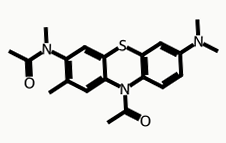 CC(=O)N(C)c1cc2c(cc1C)N(C(C)=O)c1ccc(N(C)C)cc1S2